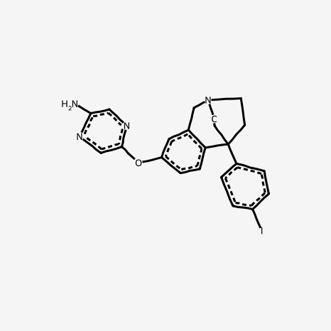 Nc1cnc(Oc2ccc3c(c2)CN2CCC3(c3ccc(I)cc3)CC2)cn1